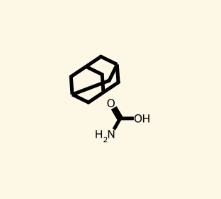 C1C2CC3CC1CC(C2)C3.NC(=O)O